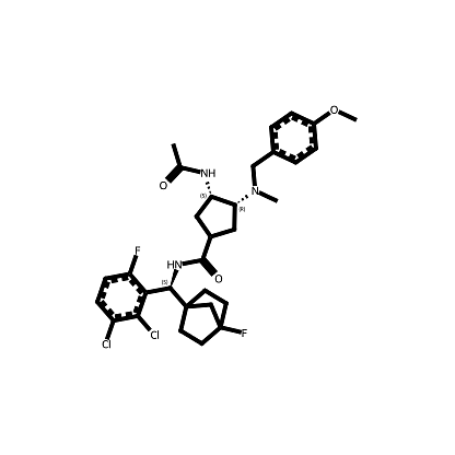 COc1ccc(CN(C)[C@@H]2CC(C(=O)N[C@H](c3c(F)ccc(Cl)c3Cl)C34CCC(F)(CC3)C4)C[C@@H]2NC(C)=O)cc1